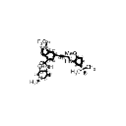 COc1ccc(P(C)(C)=O)cc1NCC#Cc1cc(C(=O)N[C@@H]2[C@@H](C)CN(C)C[C@@H]2F)c2ncn(CC(F)(F)F)c2c1